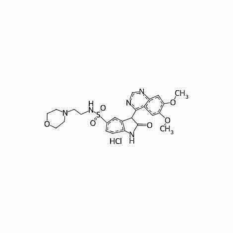 COc1cc2ncnc(C3C(=O)Nc4ccc(S(=O)(=O)NCCN5CCOCC5)cc43)c2cc1OC.Cl